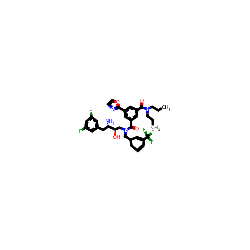 CCCN(CCC)C(=O)c1cc(C(=O)N(CC2C=C(C(F)(F)F)C=CC2)C[C@@H](O)[C@@H](N)Cc2cc(F)cc(F)c2)cc(-c2ncco2)c1